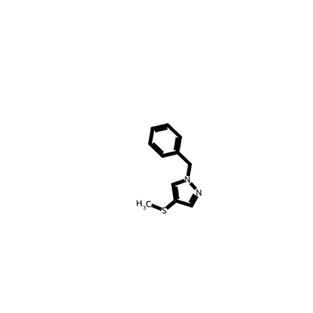 CSc1cnn(Cc2ccccc2)c1